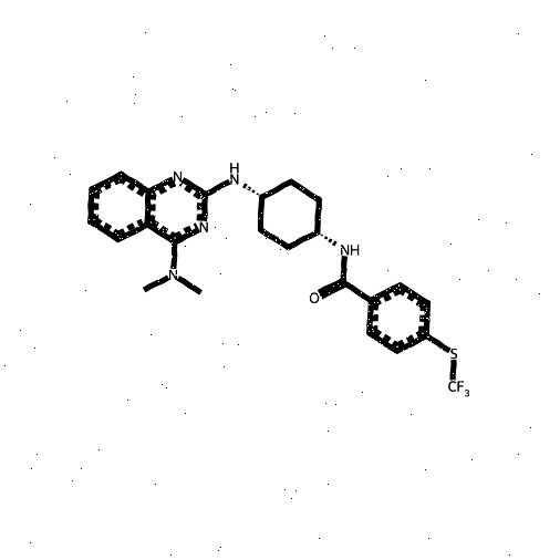 CN(C)c1nc(N[C@H]2CC[C@@H](NC(=O)c3ccc(SC(F)(F)F)cc3)CC2)nc2ccccc12